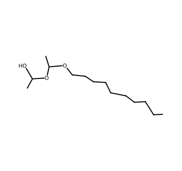 CCCCCCCCCCOC(C)OC(C)O